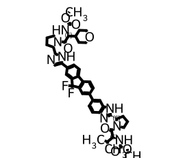 COC(=O)N[C@H](C(=O)N1CCC[C@H]1c1nc2ccc(-c3ccc4c(c3)C(F)(F)c3cc(-c5cnc(C6CCCN6C(=O)[C@@H](NC(=O)OC)C6CCOCC6)[nH]5)ccc3-4)cc2[nH]1)C(C)C